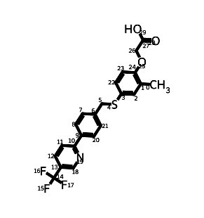 Cc1cc(SCc2ccc(-c3ccc(C(F)(F)F)cn3)cc2)ccc1OCC(=O)O